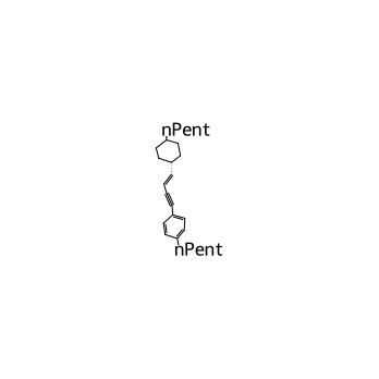 CCCCCc1ccc(C#CC=C[C@H]2CC[C@H](CCCCC)CC2)cc1